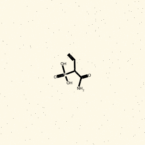 C=CC(C(N)=O)P(=O)(O)O